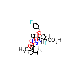 CC(OC(=O)O[C@H]1C[C@H]2CC[C@]1(C)C2(C)C)OC(=O)[C@@]1(N)[C@H]2[C@@H](C[C@H]1OCc1ccc(F)cc1)[C@]2(F)C(=O)O